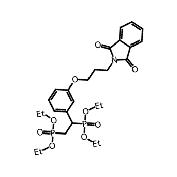 CCOP(=O)(CC(c1cccc(OCCCN2C(=O)c3ccccc3C2=O)c1)P(=O)(OCC)OCC)OCC